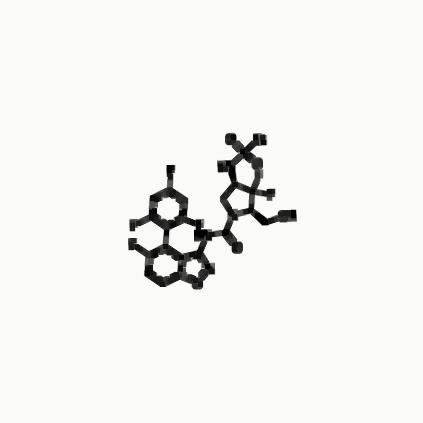 CCS(=O)(=O)N[C@@H]1CN(C(=O)Nc2noc3ccc(F)c(-c4c(F)cc(F)cc4F)c23)[C@H](CO)C1(F)F